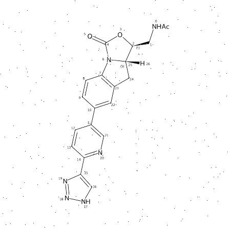 CC(=O)NC[C@@H]1OC(=O)N2c3ccc(-c4ccc(-c5c[nH]nn5)nc4)cc3C[C@@H]12